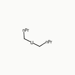 CCC[CH2][U][CH2]CCC